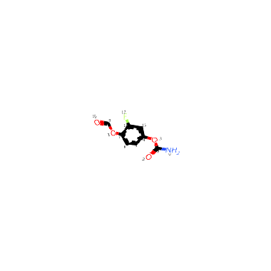 NC(=O)Oc1ccc(OC=O)c(F)c1